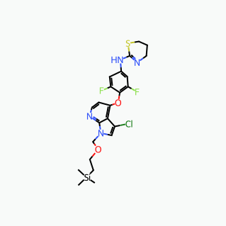 C[Si](C)(C)CCOCn1cc(Cl)c2c(Oc3c(F)cc(NC4=NCCCS4)cc3F)ccnc21